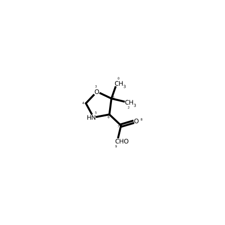 CC1(C)OCNC1C(=O)C=O